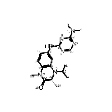 CC(C)N1c2cc(Nc3ncnc(N(C)C)n3)ccc2N(C)C(=O)[C@H]1C